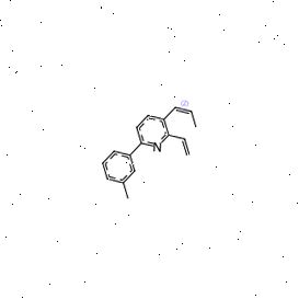 C=Cc1nc(-c2cccc(C)c2)ccc1/C=C\C